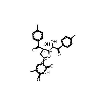 Cc1ccc(C(=O)C(O)[C@H]2O[C@@H](n3cc(C)c(=O)[nH]c3=O)C[C@@]2(O)C(=O)c2ccc(C)cc2)cc1